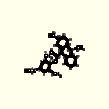 Cc1cc(C(=O)O)cc(C)c1OC(=O)c1c2ccccc2[n+](C)c2ccc(O)cc12